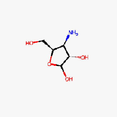 N[C@@H]1[C@H](CO)OC(O)[C@H]1O